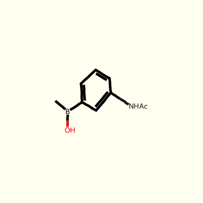 CB(O)c1cccc(NC(C)=O)c1